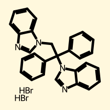 Br.Br.c1ccc(C(Cn2cnc3ccccc32)(c2ccccc2)n2cnc3ccccc32)cc1